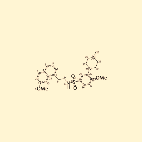 COc1ccc2cccc(CCNS(=O)(=O)c3ccc(OC)c(N4CCN(C)CC4)c3)c2c1